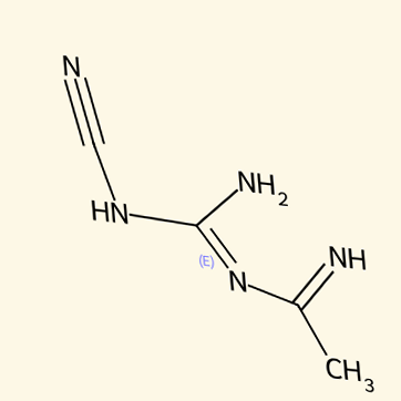 CC(=N)/N=C(\N)NC#N